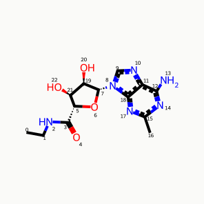 CCNC(=O)[C@H]1O[C@@H](n2cnc3c(N)nc(C)nc32)[C@H](O)[C@@H]1O